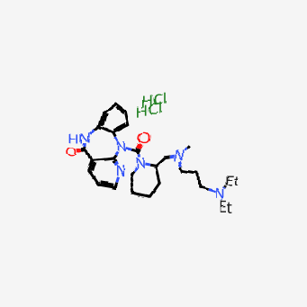 CCN(CC)CCCN(C)CC1CCCCN1C(=O)N1c2ccccc2NC(=O)c2cccnc21.Cl.Cl